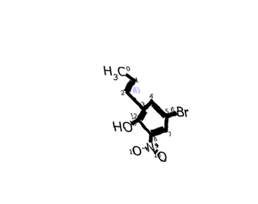 C/C=C/c1cc(Br)cc([N+](=O)[O-])c1O